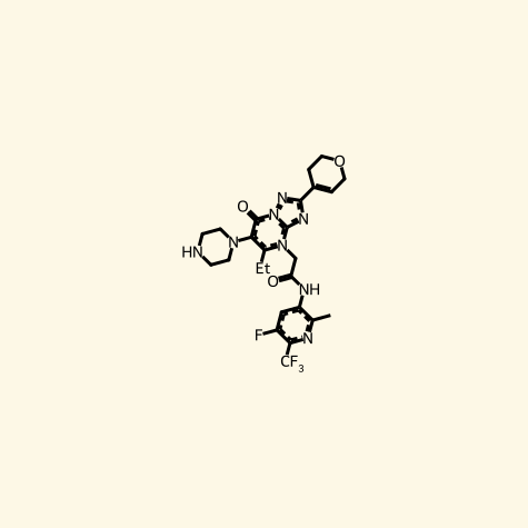 CCc1c(N2CCNCC2)c(=O)n2nc(C3=CCOCC3)nc2n1CC(=O)Nc1cc(F)c(C(F)(F)F)nc1C